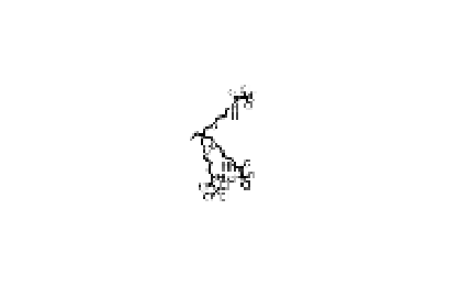 CCC(COCCCNC(=O)C(Cl)(Cl)Cl)(COCCCNC(=O)C(Cl)(Cl)Cl)COCCCNC(=O)C(Cl)(Cl)Cl